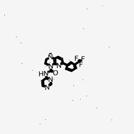 CN1CCN(C(=O)Nc2ccncn2)c2nc(-c3cccc(C(F)(F)F)c3)ccc21